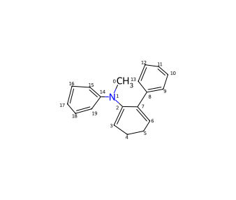 CN(C1=CCCC=C1c1ccccc1)c1ccccc1